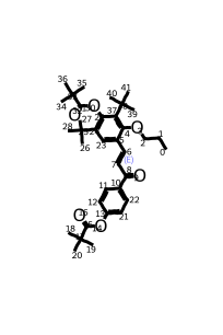 CCCOc1c(/C=C/C(=O)c2ccc(OC(=O)C(C)(C)C)cc2)cc(C(C)(C)C)c(OC(=O)C(C)(C)C)c1C(C)(C)C